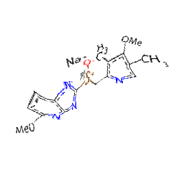 COc1ccc2[n-]c([S@@+]([O-])Cc3ncc(C)c(OC)c3C)nc2n1.[Na+]